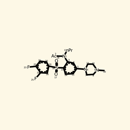 CCCN(C(C)=O)c1cc(N2CCN(C)CC2)ccc1S(=O)(=O)c1ccc(F)c(F)c1